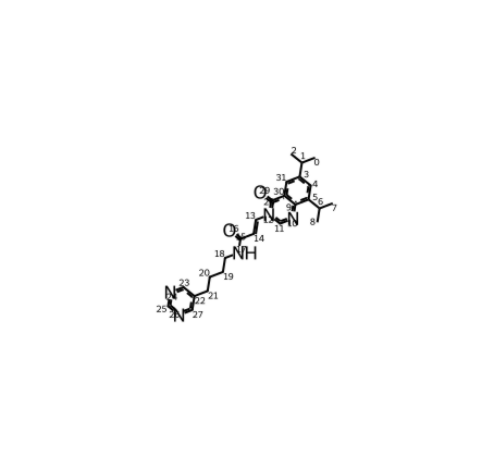 CC(C)c1cc(C(C)C)c2ncn(C=CC(=O)NCCCCc3cncnc3)c(=O)c2c1